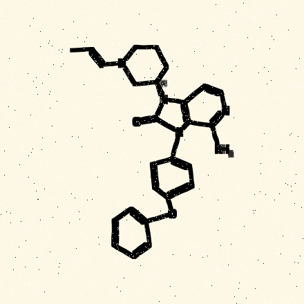 CC=CN1CCC[C@@H](n2c(=O)n(-c3ccc(Oc4ccccc4)cc3)c3c(N)nccc32)C1